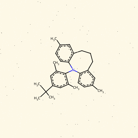 Cc1ccc2c(c1)CCCc1cc(C)ccc1N2c1c(C)cc(C(C)(C)C)cc1C